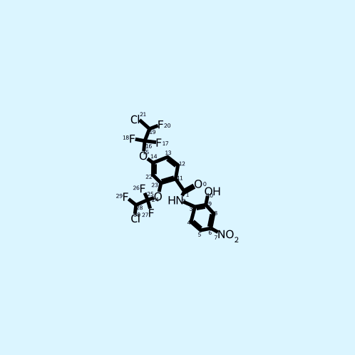 O=C(Nc1ccc([N+](=O)[O-])cc1O)c1ccc(OC(F)(F)C(F)Cl)cc1OC(F)(F)C(F)Cl